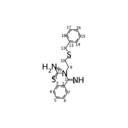 N=C(c1ccccc1)N(CCSCc1ccccc1)C(N)=S